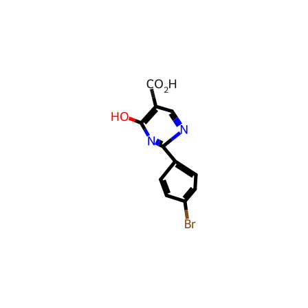 O=C(O)c1cnc(-c2ccc(Br)cc2)nc1O